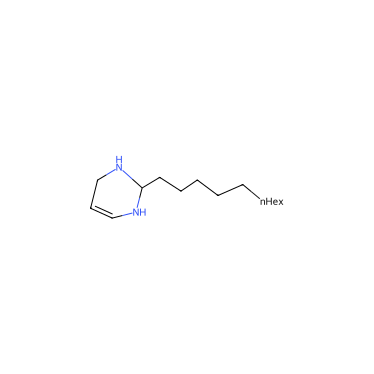 CCCCCCCCCCCC1NC=CCN1